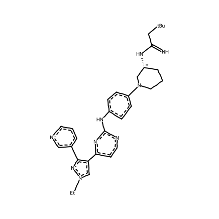 CCn1cc(-c2ccnc(Nc3ccc(N4CCC[C@@H](NC(=N)CC(C)(C)C)C4)cc3)n2)c(-c2cccnc2)n1